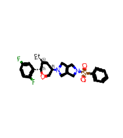 CC[C@H]1C[C@@H](N2CC3=C(C2)CN(S(=O)(=O)c2ccccc2)C3)CO[C@@H]1c1cc(F)ccc1F